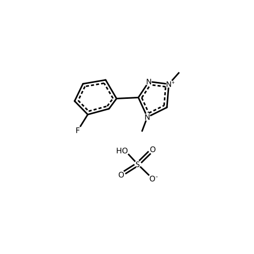 Cn1c[n+](C)nc1-c1cccc(F)c1.O=S(=O)([O-])O